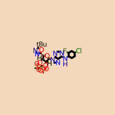 CC(C)(C)c1nnc([C@H]2O[C@@H](n3cnc4c(Nc5ccc(Cl)cc5F)ncnc43)[C@@H]3OC(S(C)(=O)=O)(S(C)(=O)=O)O[C@H]32)o1